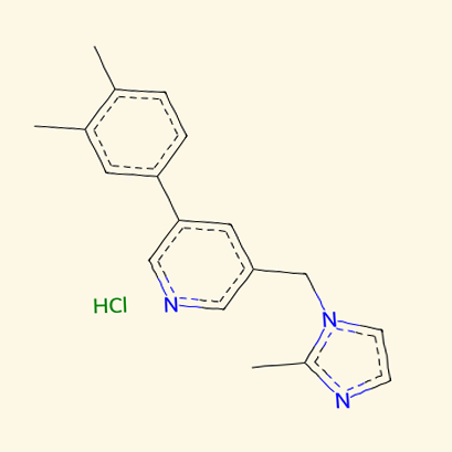 Cc1ccc(-c2cncc(Cn3ccnc3C)c2)cc1C.Cl